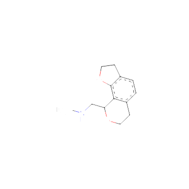 O=C(O)NCC1OCCc2ccc3c(c21)OCC3